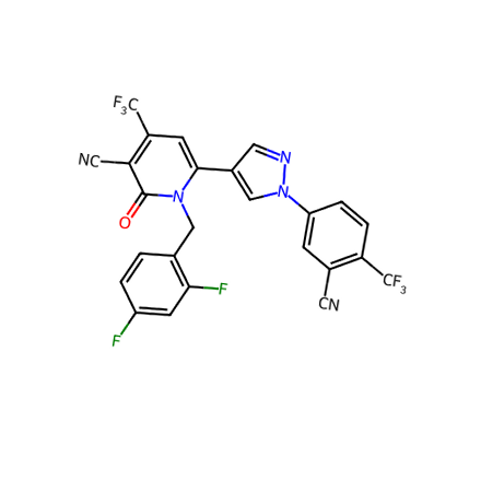 N#Cc1cc(-n2cc(-c3cc(C(F)(F)F)c(C#N)c(=O)n3Cc3ccc(F)cc3F)cn2)ccc1C(F)(F)F